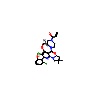 C=CC(=O)N1CCN2C(=O)c3c(N4CCC(C)(C)C4)nc(-c4c(O)cccc4F)c(Cl)c3OC[C@H]2C1